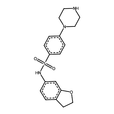 O=S(=O)(Nc1ccc2c(c1)OCC2)c1ccc(N2CCNCC2)cc1